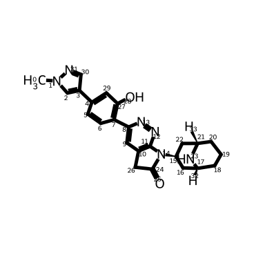 Cn1cc(-c2ccc(-c3cc4c(nn3)N([C@@H]3C[C@H]5CCC[C@@H](C3)N5)C(=O)C4)c(O)c2)cn1